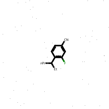 CCCC(CC)c1ccc(C#N)cc1F